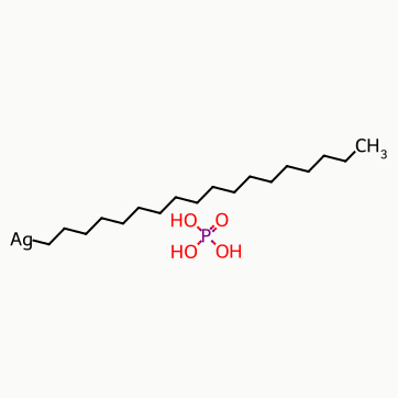 CCCCCCCCCCCCCCCCC[CH2][Ag].O=P(O)(O)O